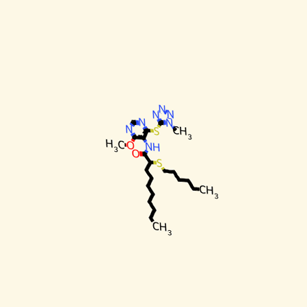 CCCCCCCCC(SCCCCCC)C(=O)Nc1c(OC)ncnc1Sc1nnnn1C